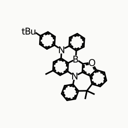 Cc1cc2c3c(c1)N1c4ccccc4C(C)(C)c4cccc5oc(c1c45)B3c1ccccc1N2c1ccc(C(C)(C)C)cc1